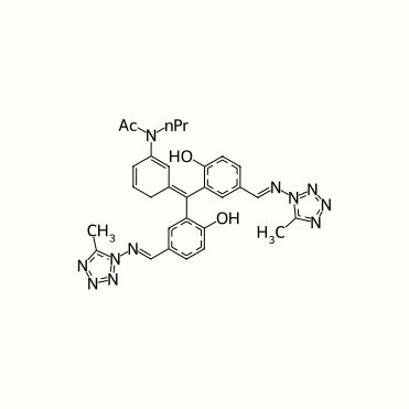 CCCN(C(C)=O)C1=CC(=C(c2cc(C=Nn3nnnc3C)ccc2O)c2cc(C=Nn3nnnc3C)ccc2O)CC=C1